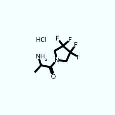 CC(N)C(=O)N1CC(F)(F)C(F)(F)C1.Cl